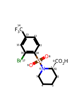 O=C(O)[C@@H]1CCCCN1S(=O)(=O)c1ccc(C(F)(F)F)cc1Br